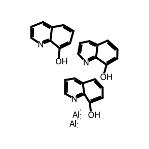 Oc1cccc2cccnc12.Oc1cccc2cccnc12.Oc1cccc2cccnc12.[Al].[Al]